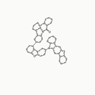 O=c1c2ccccc2c2cccc3c4cc(-c5cccc6oc7ccc(-n8c9ccccc9c9cc%10sc%11ccccc%11c%10cc98)cc7c56)ccc4n1c23